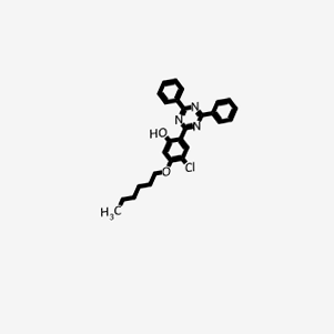 CCCCCCOc1cc(O)c(-c2nc(-c3ccccc3)nc(-c3ccccc3)n2)cc1Cl